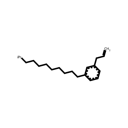 C=CCc1cccc(CCCCCCCCCC(C)C)c1